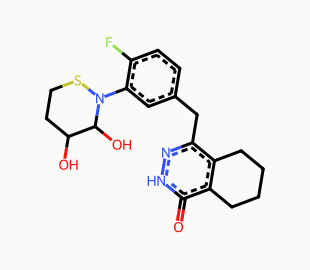 O=c1[nH]nc(Cc2ccc(F)c(N3SCCC(O)C3O)c2)c2c1CCCC2